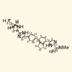 CCC[C@H](NC)c1ncc(-c2ccc(-c3ccc(-c4cnc([C@@H]5C[C@H]6C(C)[C@H]6N5)[nH]4)cc3)c3c2CCC3)[nH]1